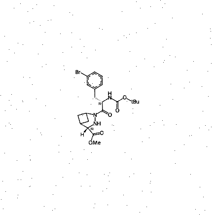 COC(=O)[C@H]1NN(C(=O)[C@H](Cc2cccc(Br)c2)NC(=O)OC(C)(C)C)C2CC1C2